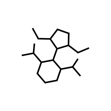 CCC1CCC(CC)C1C1C(C(C)C)CCCC1C(C)C